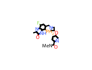 CNC(=O)c1ccc(OC2CN(Cc3cc(F)c4nc(C)c(=O)[nH]c4c3P)C2)cn1